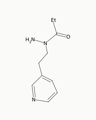 CCC(=O)N(N)CCc1cccnc1